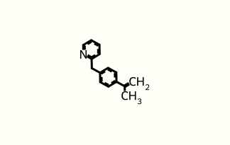 C=C(C)c1ccc(Cc2ccccn2)cc1